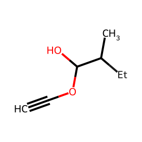 C#COC(O)C(C)CC